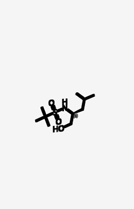 CC(C)C[C@@H](CO)NS(=O)(=O)C(C)(C)C